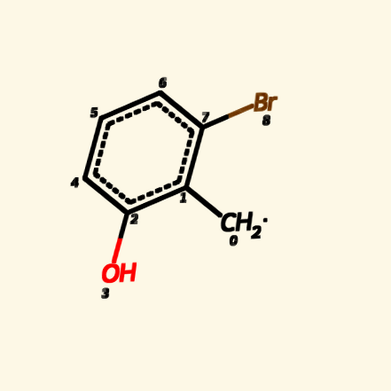 [CH2]c1c(O)cccc1Br